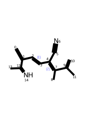 C=C(/C=C/C(C#N)=C(\C)C(=C)C)C(C)=N